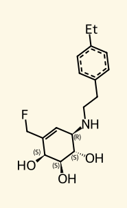 CCc1ccc(CCN[C@@H]2C=C(CF)[C@H](O)[C@H](O)[C@H]2O)cc1